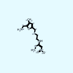 CSC(=C[N+](=O)[O-])NCCSCc1cc(C)c(CN)o1